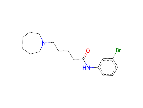 O=C(CCCCN1CCCCCC1)Nc1cccc(Br)c1